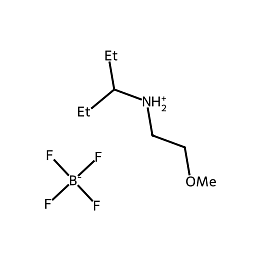 CCC(CC)[NH2+]CCOC.F[B-](F)(F)F